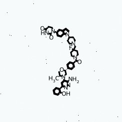 C[C@@H]1CO[C@H](c2ccc(C(=O)N3CCC(F)(CN4CCC(n5ccc6cc(N7CCC(=O)NC7=O)ccc65)CC4)CC3)cc2)CN1c1cc(-c2ccccc2O)nnc1N